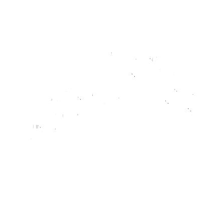 CC(=O)NC[C@H]1CN(c2ccc(-n3cnc(Cn4cncn4)c3)c(F)c2)C(=O)O1